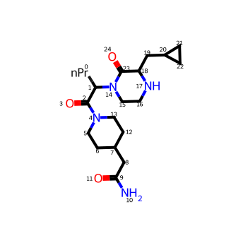 CCCC(C(=O)N1CCC(CC(N)=O)CC1)N1CCNC(CC2CC2)C1=O